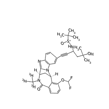 [2H]C([2H])([2H])N1C(=O)c2cccc(OC(F)F)c2[C@H]2C[C@@H]1c1nc3ccc(C#CC(CC(C)(C)O)N[S+]([O-])C(C)(C)C)cc3n12